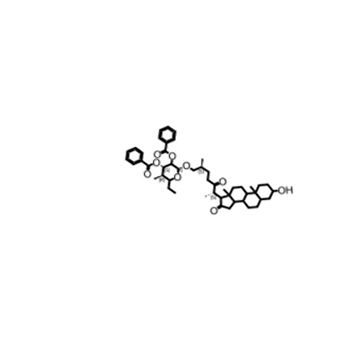 CCC1O[C@@H](OC[C@@H](C)CCC(=O)[C@@H](C)C2C(=O)CC3C4CCC5CC(O)CCC5(C)C4CCC32C)C(OC(=O)c2ccccc2)[C@@H](OC(=O)c2ccccc2)[C@@H]1C